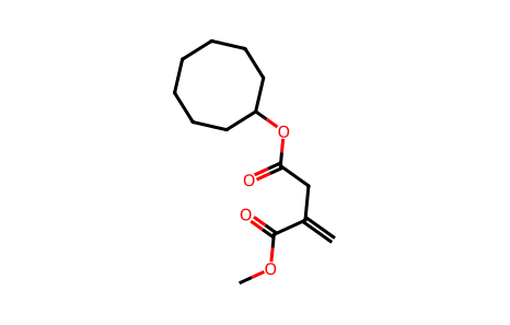 C=C(CC(=O)OC1CCCCCCC1)C(=O)OC